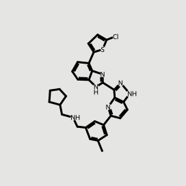 Cc1cc(CNCC2CCCC2)cc(-c2ccc3[nH]nc(-c4nc5c(-c6ccc(Cl)s6)cccc5[nH]4)c3n2)c1